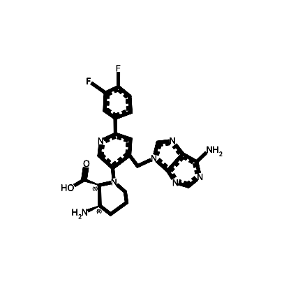 Nc1ncnc2c1ncn2Cc1cc(-c2ccc(F)c(F)c2)ncc1N1CCC[C@@H](N)[C@H]1C(=O)O